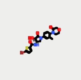 Cc1cc(N2C[C@H](NC(=O)c3ccc(Br)s3)[C@@H](O)C2=O)ccc1N1CCOCC1=O